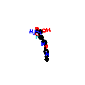 CC1(CN2CCC(COc3ccc(-c4ccc(C(=O)N5C[C@H](O)C[C@H]5C(N)=O)c(F)c4)cn3)CC2)CCC1